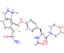 CC(=O)N[C@@H](Cc1ccc(Oc2sc(C(N)=O)c3c2-c2c(cnn2C)CC3)cc1)C(=O)N1CCOCC1